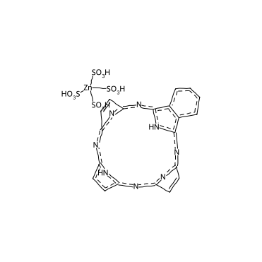 C1=Cc2nc1nc1ccc(nc3nc(nc4[nH]c(n2)c2ccccc42)C=C3)[nH]1.O=[S](=O)(O)[Zn]([S](=O)(=O)O)([S](=O)(=O)O)[S](=O)(=O)O